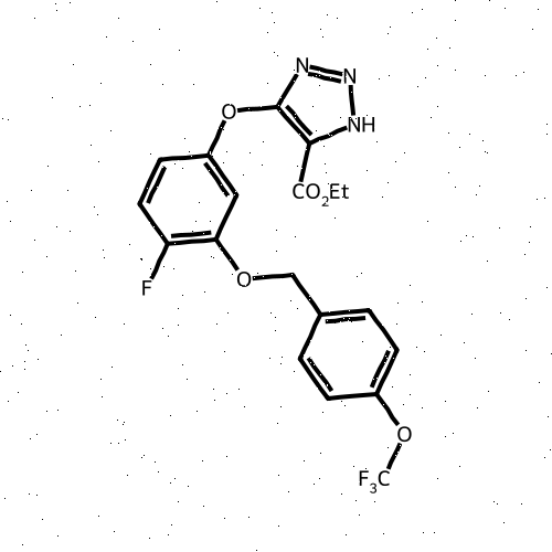 CCOC(=O)c1[nH]nnc1Oc1ccc(F)c(OCc2ccc(OC(F)(F)F)cc2)c1